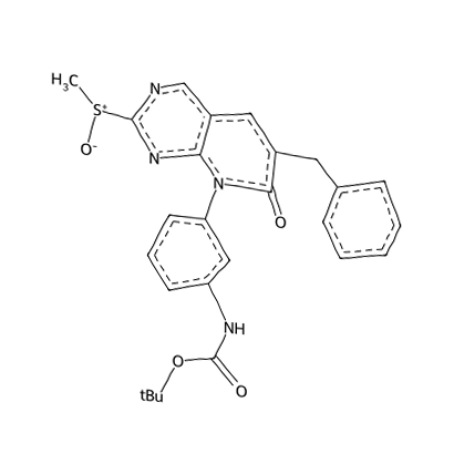 C[S+]([O-])c1ncc2cc(Cc3ccccc3)c(=O)n(-c3cccc(NC(=O)OC(C)(C)C)c3)c2n1